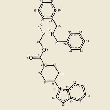 C[C@@H](COC(=O)N1CCC(n2ccc3ccccc32)CC1)N(Cc1ccccc1)Cc1ccccc1